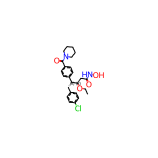 CCO[C@H](CC(=O)NO)[C@H](Cc1ccc(Cl)cc1)c1ccc(C(=O)N2CCCCC2)cc1